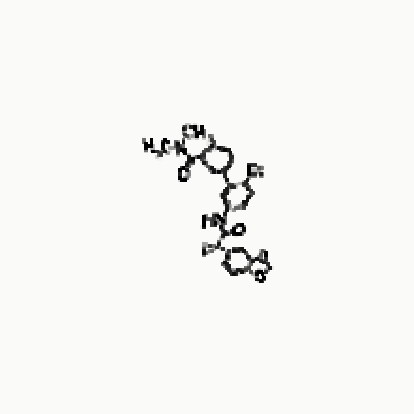 CCc1ccc(NC(=O)C2(c3ccc4c(c3)OCO4)CC2)cc1-c1cccc(C(=O)N(C)C)c1